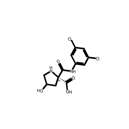 O=C(O)[C@]1(C(=O)Nc2cc(Cl)cc(Cl)c2)CC(O)CN1